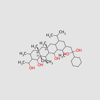 CC(C)C1CC(CC(O)(O)C2CCCCC2)C(C)C2C(O)C3C(C)[C@]4(C)C(O)C(C(C)O)C(C)C[C@]4(C)C[C@]3(C)CC12